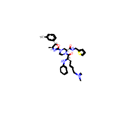 C[C@@H]1N=C(N2CCN(C(=O)[C@@H](CCCCN(C)C)NC3CCCCC3)[C@H](C(=O)NCc3cccs3)C2)O[C@H]1c1cccc(C#N)c1